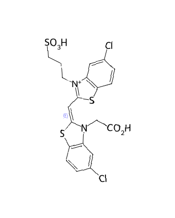 O=C(O)CN1/C(=C\c2sc3ccc(Cl)cc3[n+]2CCCS(=O)(=O)O)Sc2ccc(Cl)cc21